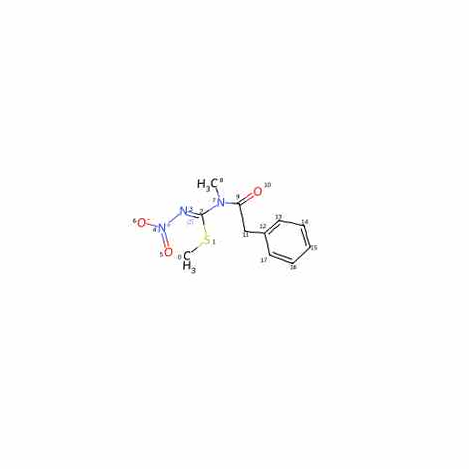 CS/C(=N\[N+](=O)[O-])N(C)C(=O)Cc1ccccc1